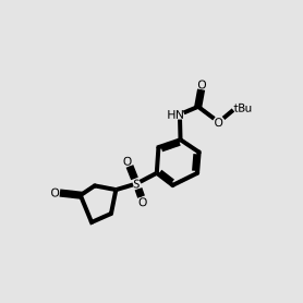 CC(C)(C)OC(=O)Nc1cccc(S(=O)(=O)C2CCC(=O)C2)c1